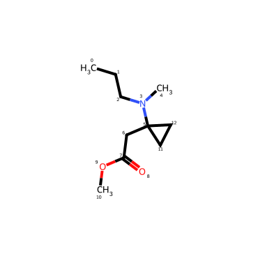 CCCN(C)C1(CC(=O)OC)CC1